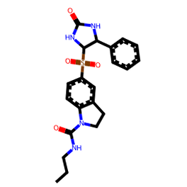 CCCNC(=O)N1CCc2cc(S(=O)(=O)C3NC(=O)NC3c3ccccc3)ccc21